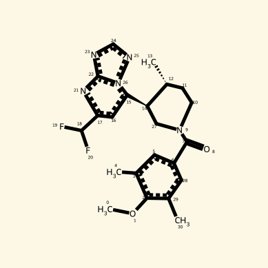 COc1c(C)cc(C(=O)N2CC[C@@H](C)[C@H](c3cc(C(F)F)nc4ncnn34)C2)cc1C